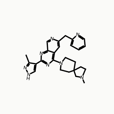 Cc1n[nH]cc1-c1nc(N2CCC3(CCN(C)C3)CC2)c2cc(Cc3ccccn3)ncc2n1